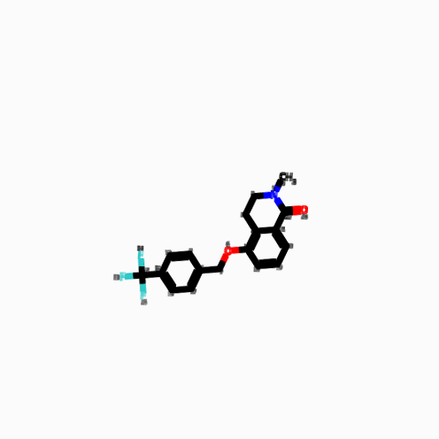 CN1CCc2c(OCc3ccc(C(F)(F)F)cc3)cccc2C1=O